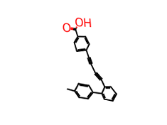 Cc1ccc(-c2ccccc2C#CC#Cc2ccc(C(=O)O)cc2)cc1